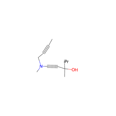 CC#CCN(C)C#CC(C)(O)C(C)C